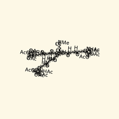 CNC(=O)CCCC(=O)NC(COCCC(=O)NCCCNC(=O)CCCCO[C@@H]1OC(COC(C)=O)[C@H](OC(C)=O)C(OC(C)=O)C1NC(C)=O)(COCCC(=O)NCCCNC(=O)CCCCO[C@@H]1OC(COC(C)=O)[C@H](OC(C)=O)C(OC(C)=O)[C@@H]1NC(C)=O)COCCC(=O)NCCCNC(=O)CCCCO[C@@H]1OC(COC(C)=O)[C@H](OC(C)=O)C(OC(C)=O)[C@@H]1NC(C)=O